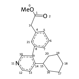 COC(=O)Cc1cccc(-c2cnccc2C2CCCCC2)c1